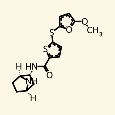 COc1ccc(Sc2ccc(C(=O)N[C@@H]3C[C@H]4CC[C@@H]3N4)s2)o1